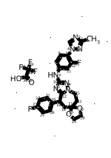 Cc1ncn(-c2ccc(Nc3nc4n(n3)CCC3(CC4c4ccc(F)cc4)OCCO3)cc2F)n1.O=C(O)C(F)(F)F